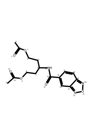 CC(=O)OCCC(CCOC(C)=O)NC(=O)c1ccc2nonc2c1